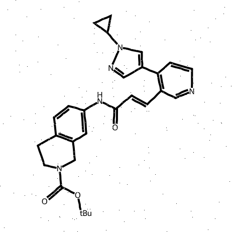 CC(C)(C)OC(=O)N1CCc2ccc(NC(=O)C=Cc3cnccc3-c3cnn(C4CC4)c3)cc2C1